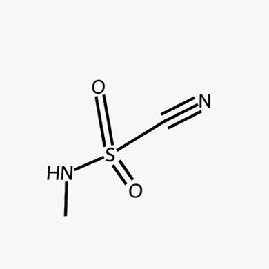 CNS(=O)(=O)C#N